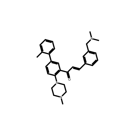 Cc1ccccc1-c1ccc(N2CCN(C)CC2)c(C(=O)/C=C/c2cccc(CN(C)C)c2)c1